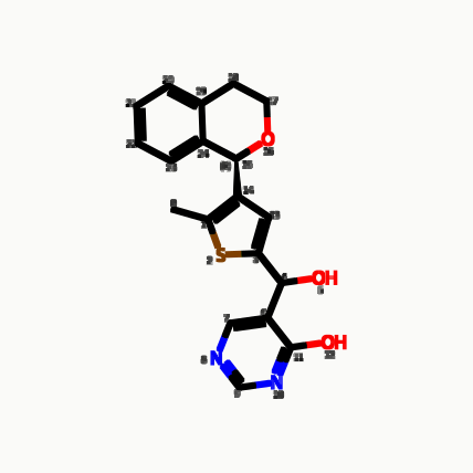 Cc1sc(C(O)c2cncnc2O)cc1[C@@H]1OCCc2ccccc21